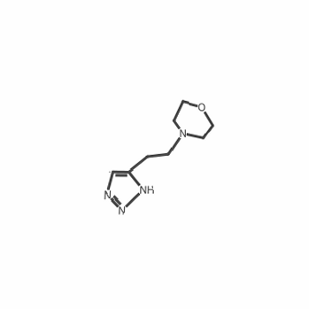 [c]1nn[nH]c1CCN1CCOCC1